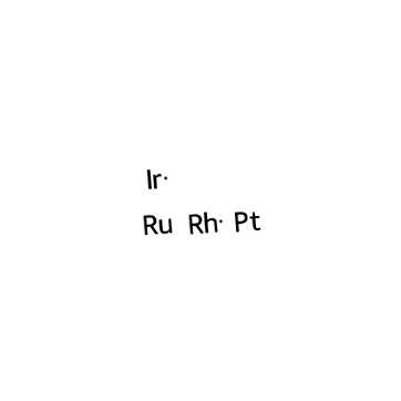 [Ir].[Pt].[Rh].[Ru]